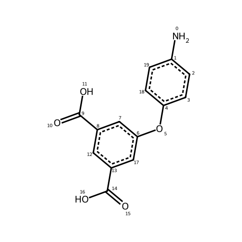 Nc1ccc(Oc2cc(C(=O)O)cc(C(=O)O)c2)cc1